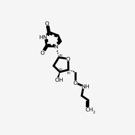 C=CCNOC[C@H]1O[C@@H](n2ccc(=O)[nH]c2=O)C[C@@H]1O